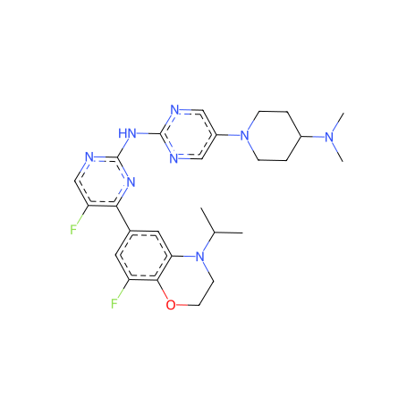 CC(C)N1CCOc2c(F)cc(-c3nc(Nc4ncc(N5CCC(N(C)C)CC5)cn4)ncc3F)cc21